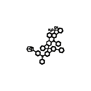 CC1(C)c2ccccc2-c2cc(N(C3=CC4=C(CC3c3ccccc3)c3ccccc3C43c4ccc(-c5ccccc5)cc4-c4ccc(N(c5ccccc5)c5ccc(C6C7CC8CC(C7)C6C8)cc5)cc43)c3ccccc3)ccc21